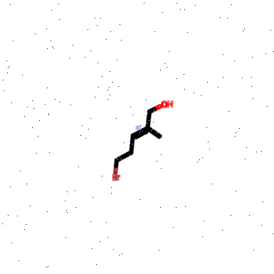 C/C(=C\CCBr)CO